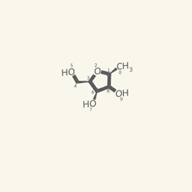 C[C@@H]1O[C@H](CO)[C@H](O)C1O